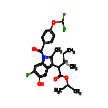 CC[C@H](C)C(C(=O)OC(C)C)c1c(C)n(C(=O)c2ccc(OC(F)F)cc2)c2cc(F)c(O)cc12